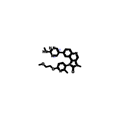 C=C(/N=C\C(=C/N)c1ccc2ncc3c(c2c1)n(-c1ccc(OCCOC)nc1C)c(=O)n3C)NC